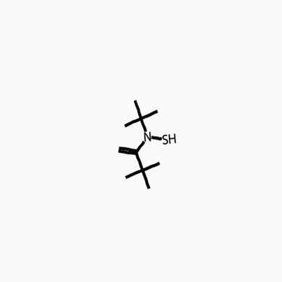 C=C(N(S)C(C)(C)C)C(C)(C)C